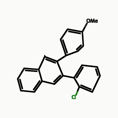 COc1ccc(-c2[c]c3ccccc3cc2-c2ccccc2Cl)cc1